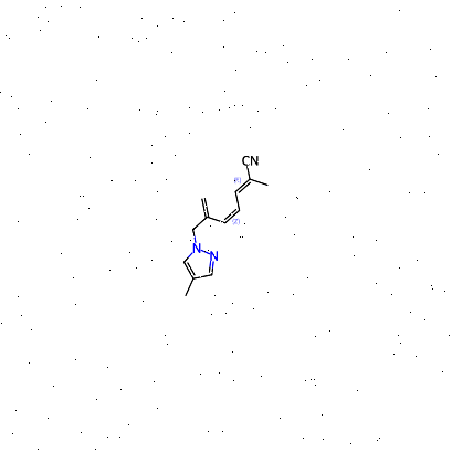 C=C(/C=C\C=C(/C)C#N)Cn1cc(C)cn1